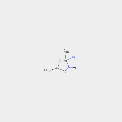 CCCCC1(N)SC(C(=O)O)CN1C